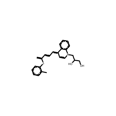 C=C(C=CC=C1C=CN(CC(O)CO)c2ccccc21)Sc1ccccc1C